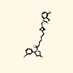 O=C(CCCCCC12CC(Cn3ncc4c(F)cccc43)(C1)C2)N1CC(F)CC1c1cccc(F)c1